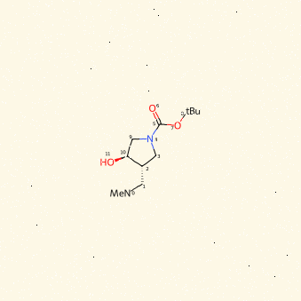 CNC[C@H]1CN(C(=O)OC(C)(C)C)C[C@@H]1O